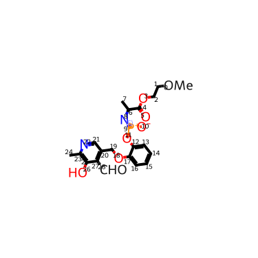 COCCOC(=O)C(C)/N=[P+](\[O-])Oc1ccccc1OCc1cnc(C)c(O)c1C=O